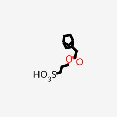 O=C(CC1CC2CCC1C2)OCCCS(=O)(=O)O